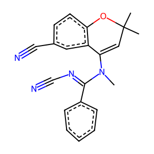 CN(C1=CC(C)(C)Oc2ccc(C#N)cc21)C(=NC#N)c1ccccc1